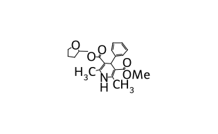 COC(=O)C1=C(C)NC(C)=C(C(=O)OCC2CCCO2)C1c1ccccc1